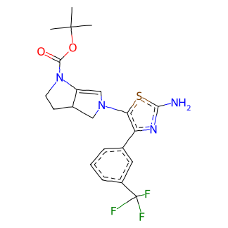 CC(C)(C)OC(=O)N1CCC2CN(c3sc(N)nc3-c3cccc(C(F)(F)F)c3)C=C21